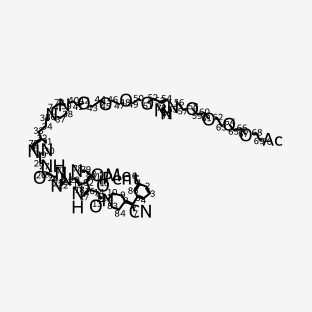 CCCC(C)c1cccc(C(C#N)=C2CCN(C(=O)C(=O)c3c[nH]c4c(-n5cnc(C(=O)NCc6ncc(CCCN7CCN(CCOCCOCCOCCOCc8cn(CCOCCOCCOCCOCCC(C)=O)nn8)CC7)cn6)n5)ncc(OC)c34)CC2)c1